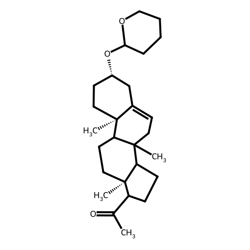 CC(=O)C1CCC2C3(C)CC=C4C[C@@H](OC5CCCCO5)CC[C@]4(C)C3CC[C@]12C